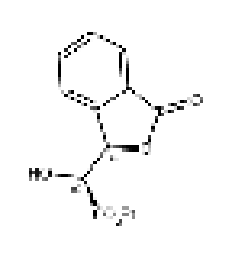 CCOC(=O)[C@@H](O)[C@@H]1OC(=O)c2ccccc21